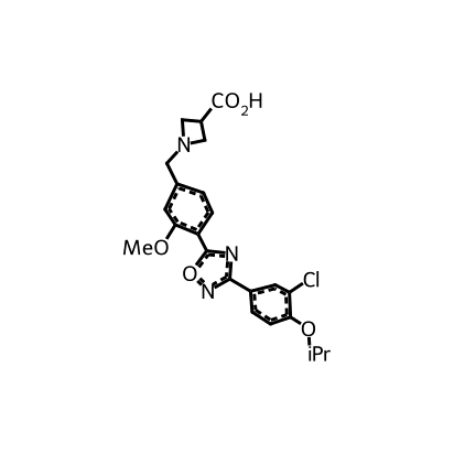 COc1cc(CN2CC(C(=O)O)C2)ccc1-c1nc(-c2ccc(OC(C)C)c(Cl)c2)no1